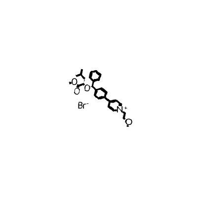 COCC[n+]1ccc(-c2ccc([C@H](O[C@@H](CC(C)C)C(=O)OC)c3ccccc3)cc2)cc1.[Br-]